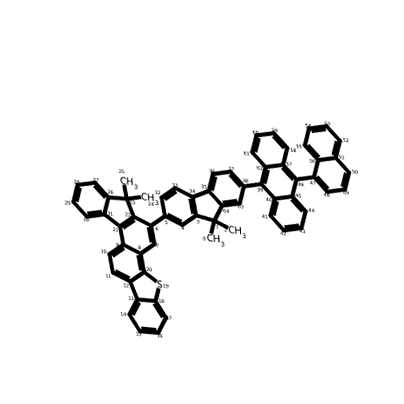 CC1(C)c2cc(-c3cc4c(ccc5c6ccccc6sc45)c4c3C(C)(C)c3ccccc3-4)ccc2-c2ccc(-c3c4ccccc4c(-c4cccc5ccccc45)c4ccccc34)cc21